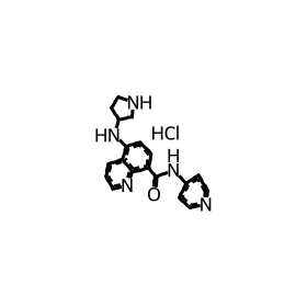 Cl.O=C(Nc1ccncc1)c1ccc(NC2CCNC2)c2cccnc12